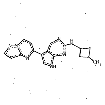 CC1CC(Nc2ncc3c(-c4ccn5nccc5n4)c[nH]c3n2)C1